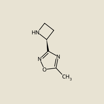 Cc1nc([C@@H]2CCN2)no1